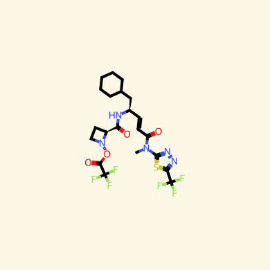 CN(C(=O)/C=C/[C@H](CC1CCCCC1)NC(=O)[C@@H]1CCN1OC(=O)C(F)(F)F)c1nnc(C(F)(F)F)s1